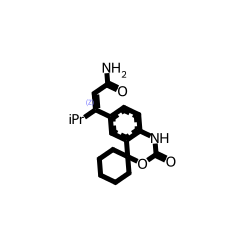 CC(C)/C(=C/C(N)=O)c1ccc2c(c1)C1(CCCCC1)OC(=O)N2